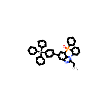 CCc1nc2cc(-c3ccc([Si](c4ccccc4)(c4ccccc4)c4ccccc4)cc3)cc3c2n1-c1ccccc1P3(=O)c1ccccc1